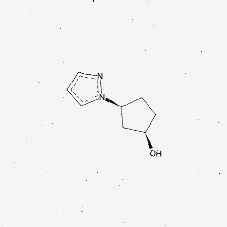 O[C@@H]1CC[C@H](n2cccn2)C1